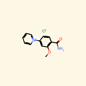 COc1cc(-[n+]2ccccc2)ccc1C(N)=O.[Cl-]